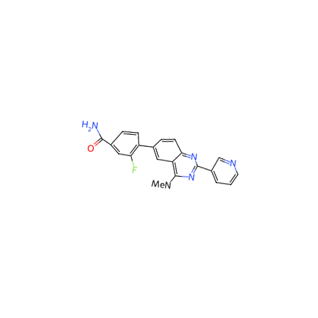 CNc1nc(-c2cccnc2)nc2ccc(-c3ccc(C(N)=O)cc3F)cc12